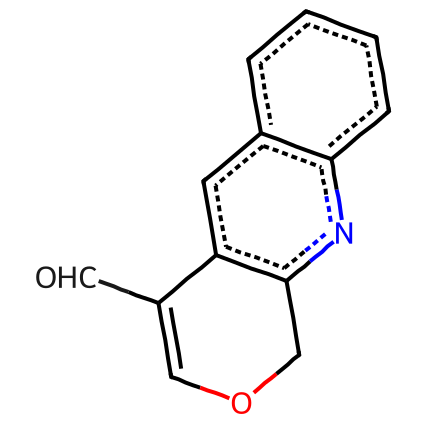 O=CC1=COCc2nc3ccccc3cc21